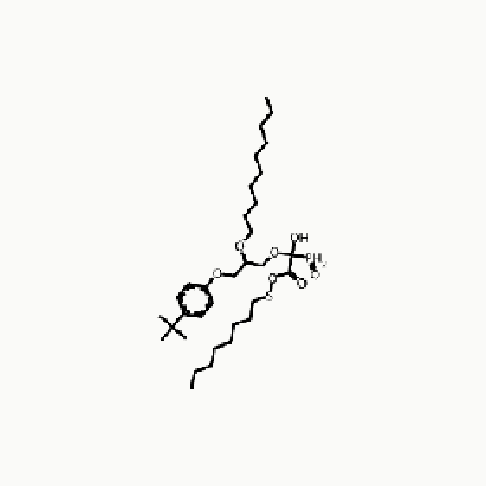 CCCCCCCCCCOC(COc1ccc(C(C)(C)C)cc1)COC(O)([PH2]=O)C(=O)OSCCCCCCCC